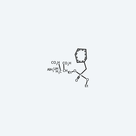 CC(=O)O.CC(=O)O.CCOP(=O)(Cc1ccccc1)OCC.[AlH3].[LiH]